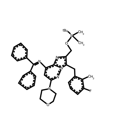 Cc1c(F)cccc1Cc1c(CO[Si](C)(C)C(C)(C)C)nc2c(N=C(c3ccccc3)c3ccccc3)cc(N3CCOCC3)nn12